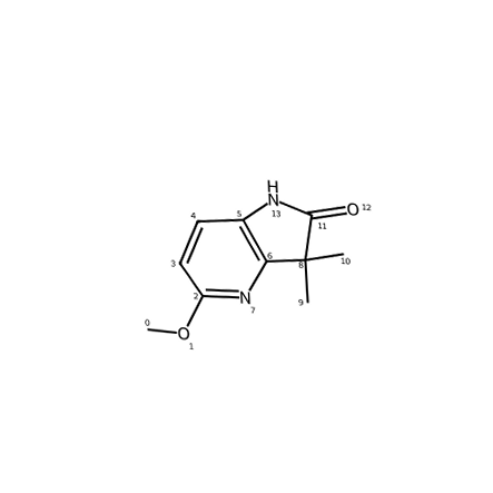 COc1ccc2c(n1)C(C)(C)C(=O)N2